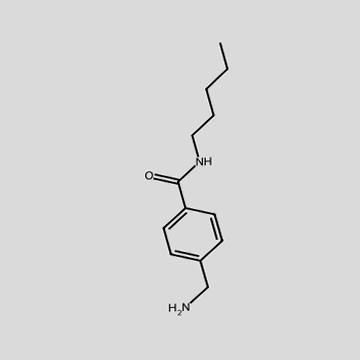 CCCCCNC(=O)c1ccc(CN)cc1